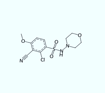 COc1ccc(S(=O)(=O)NN2CCOCC2)c(Cl)c1C#N